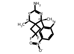 C[C@H]1SC(N)=N[C@](C)(c2cc([N+](=O)[O-])ccc2F)C12CC(F)(F)C2